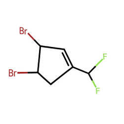 FC(F)C1=CC(Br)C(Br)C1